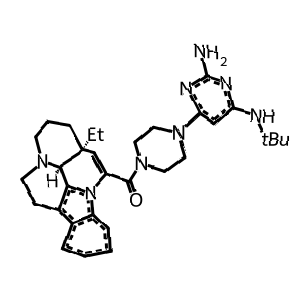 CC[C@@]12C=C(C(=O)N3CCN(c4cc(NC(C)(C)C)nc(N)n4)CC3)n3c4c(c5ccccc53)CCN(CCC1)[C@H]42